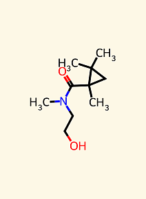 CN(CCO)C(=O)C1(C)CC1(C)C